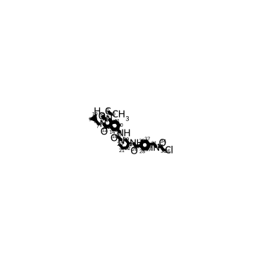 CC(C)n1c(=O)n(CC2CC2)c(=O)c2cc(NC(=O)N3CCC[C@@H](NC(=O)c4ccc(CNC(=O)CCl)cc4)C3)ccc21